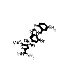 CSc1sc(C(=N)N)cc1S(=O)(=O)c1cc(Br)c2c(c1)ncn2Cc1cc(N)ccc1F